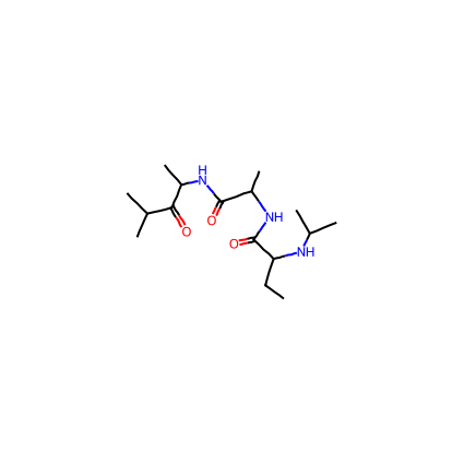 CCC(NC(C)C)C(=O)NC(C)C(=O)NC(C)C(=O)C(C)C